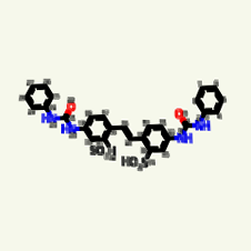 O=C(Nc1ccccc1)Nc1ccc(C=Cc2ccc(NC(=O)Nc3ccccc3)cc2S(=O)(=O)O)c(S(=O)(=O)O)c1